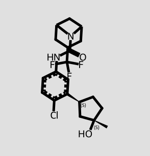 C[C@]1(O)CC[C@H](c2cc(NC(=O)N3C4CC3CC(C(F)(F)F)C4)ccc2Cl)C1